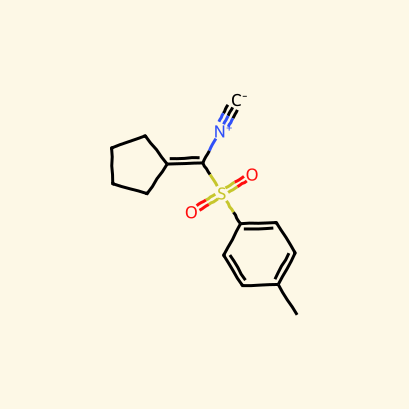 [C-]#[N+]C(=C1CCCC1)S(=O)(=O)c1ccc(C)cc1